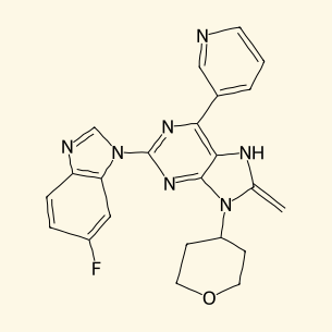 C=C1Nc2c(-c3cccnc3)nc(-n3cnc4ccc(F)cc43)nc2N1C1CCOCC1